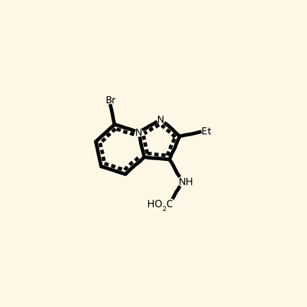 CCc1nn2c(Br)cccc2c1NC(=O)O